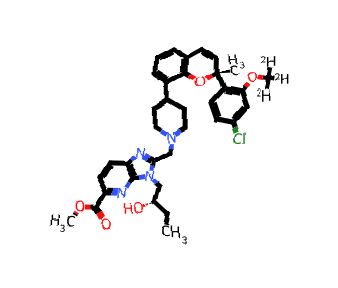 [2H]C([2H])([2H])Oc1cc(Cl)ccc1[C@@]1(C)C=Cc2cccc(C3CCN(Cc4nc5ccc(C(=O)OC)nc5n4C[C@@H](O)CC)CC3)c2O1